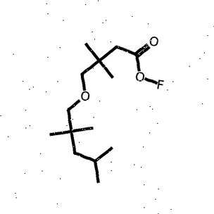 CC(C)CC(C)(C)COCC(C)(C)CC(=O)OF